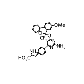 COc1ccc(-c2ccccc2)c(C(Cl)(Oc2cc(-c3ccc(CC(N)C(=O)O)cc3)nc(N)n2)C(F)(F)F)c1